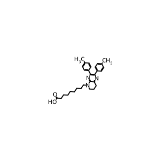 Cc1ccc(-c2nc3c(nc2-c2ccc(C)cc2)N(CCCCCCCCC(=O)O)CCC3)cc1